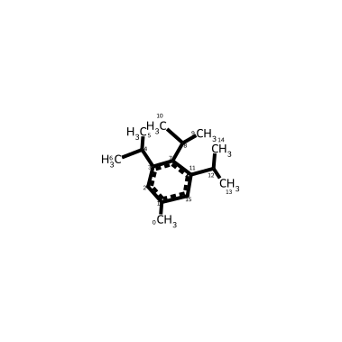 Cc1cc(C(C)C)c(C(C)C)c(C(C)C)c1